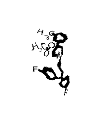 CC(=O)OC1(c2cccc(C)c2)CCN(CCCC(c2ccc(F)cc2)c2ccc(F)cc2)CC1